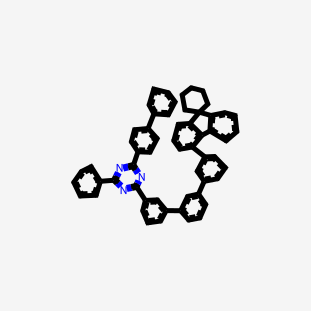 c1ccc(-c2ccc(-c3nc(-c4ccccc4)nc(-c4cccc(-c5cccc(-c6cccc(-c7cccc8c7-c7ccccc7C87CCCCC7)c6)c5)c4)n3)cc2)cc1